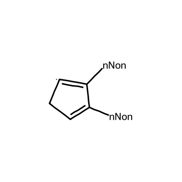 CCCCCCCCCC1=[C]CC=C1CCCCCCCCC